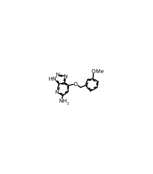 COc1cccc(COc2cc(N)nc3[nH]nnc23)c1